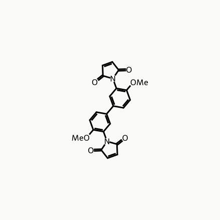 COc1ccc(-c2ccc(OC)c(N3C(=O)C=CC3=O)c2)cc1N1C(=O)C=CC1=O